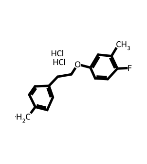 Cl.Cl.[CH2]c1ccc(CCOc2ccc(F)c(C)c2)cc1